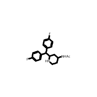 CC(=O)NC1CCNC(C(c2ccc(F)cc2)c2ccc(F)cc2)C1